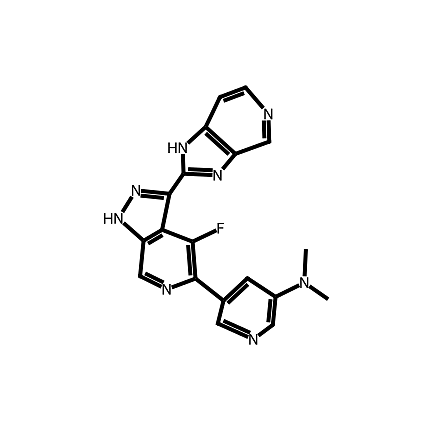 CN(C)c1cncc(-c2ncc3[nH]nc(-c4nc5cnccc5[nH]4)c3c2F)c1